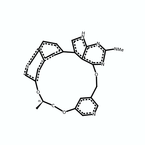 CNc1nc2c3c(c[nH]c3n1)-c1ccc3ncc(cc3c1)O[C@H](C)COc1cncc(c1)CO2